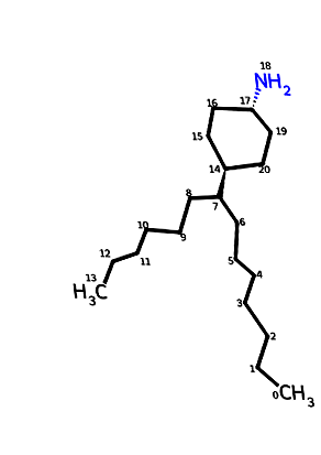 CCCCCCCC(CCCCCC)[C@H]1CC[C@H](N)CC1